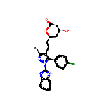 CC(C)c1nn(-c2nc3ccccc3[nH]2)c(-c2ccc(F)cc2)c1CC[C@@H]1C[C@@H](O)CC(=O)O1